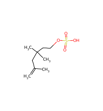 C=C(C)CC(C)(C)CCOS(=O)(=O)O